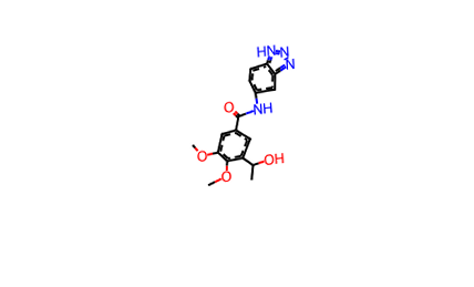 COc1cc(C(=O)Nc2ccc3[nH]nnc3c2)cc(C(C)O)c1OC